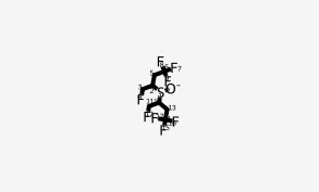 [O-][S+](C(CF)CC(F)(F)F)C(CF)CC(F)(F)F